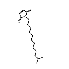 C=C1C=CC(=O)N1CCCCCCCCCCC(C)C